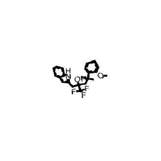 COc1ccccc1C(C)(C)CC(O)(Cc1cc2ccccc2[nH]1)C(F)(F)F